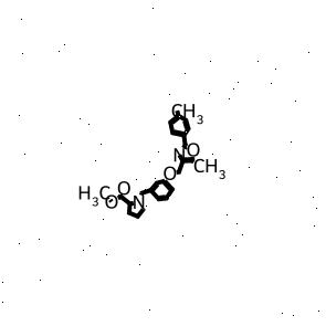 COC(=O)C1CCCN1Cc1cccc(OCc2nc(-c3ccc(C)cc3)oc2C)c1